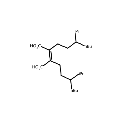 CCCCC(CCC(C(=O)O)=C(CCC(CCCC)C(C)C)C(=O)O)C(C)C